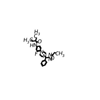 CCc1nc(C(c2ccccc2)N2CCN(c3ccc(NC(=O)C(CC)CC)cc3F)CC2)no1